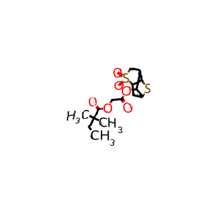 CCC(C)(C)C(=O)OCC(=O)OC1C2CC3C(S2)C1CS3(=O)=O